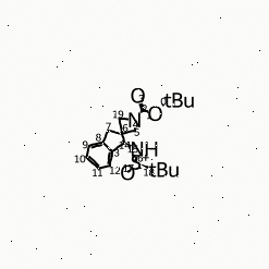 CC(C)(C)OC(=O)N1CC2(Cc3ccccc3[C@@H]2N[S@+]([O-])C(C)(C)C)C1